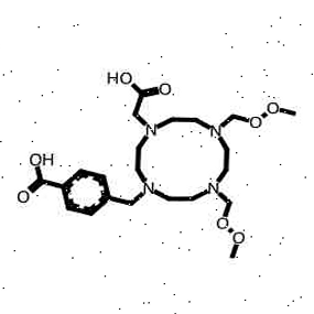 COOCN1CCN(COOC)CCN(Cc2ccc(C(=O)O)cc2)CCN(CC(=O)O)CC1